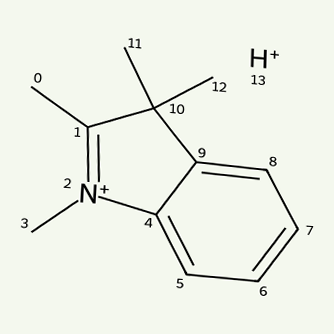 CC1=[N+](C)c2ccccc2C1(C)C.[H+]